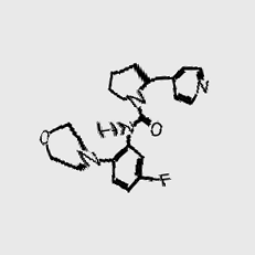 O=C(Nc1cc(F)ccc1N1CCOCC1)N1CCCC1c1ccncc1